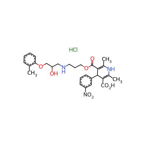 CC1=C(C(=O)O)C(c2cccc([N+](=O)[O-])c2)C(C(=O)OCCCNCC(O)COc2ccccc2C)=C(C)N1.Cl